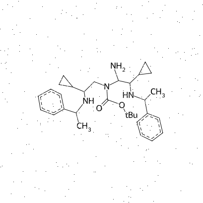 CC(NC(CN(C(=O)OC(C)(C)C)C(N)C(NC(C)c1ccccc1)C1CC1)C1CC1)c1ccccc1